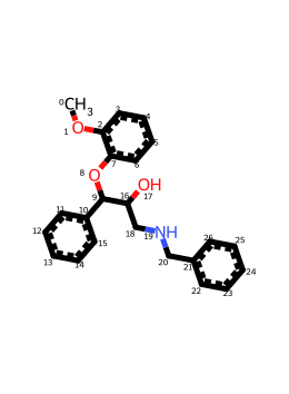 COc1ccccc1OC(c1ccccc1)C(O)CNCc1ccccc1